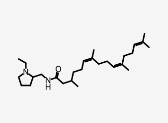 CCN1CCCC1CNC(=O)CC(C)CCC=C(C)CCC=C(C)CCC=C(C)C